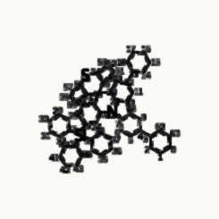 c1ccc(-c2ccc3c(c2)c2cc(-c4ccccc4)cc4c2n3-c2cc([Si](c3ccccc3)(c3ccccc3)c3ccccc3)ccc2C42c3ccccc3Sc3ccccc32)cc1